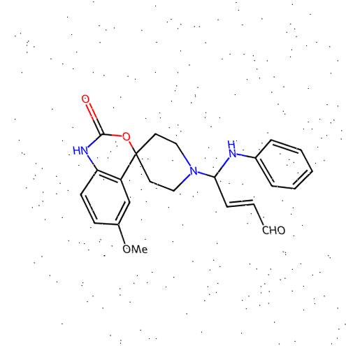 COc1ccc2c(c1)C1(CCN(C(C=CC=O)Nc3ccccc3)CC1)OC(=O)N2